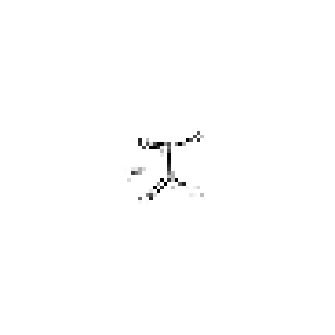 O=S([O-])S(=O)[O-].[Fe+2]